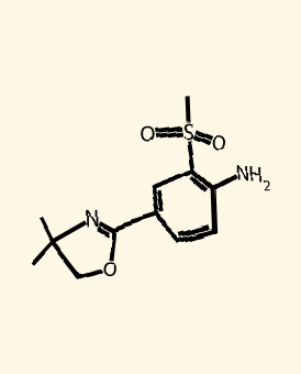 CC1(C)COC(c2ccc(N)c(S(C)(=O)=O)c2)=N1